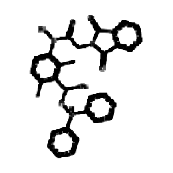 CCN(C(=O)CN1C(=O)c2ccccc2C1=O)c1ccc(C)c(C(O[SiH](c2ccccc2)c2ccccc2)C(C)(C)C)c1C